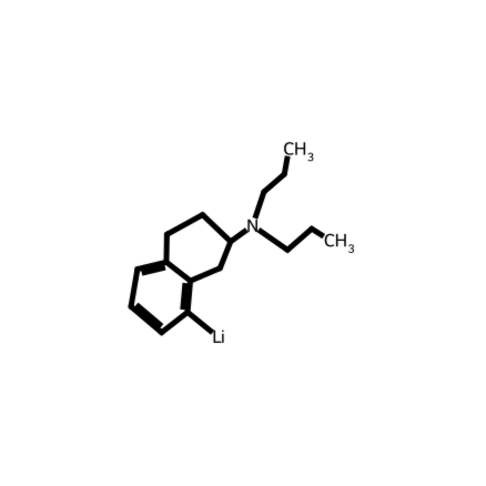 [Li][c]1cccc2c1CC(N(CCC)CCC)CC2